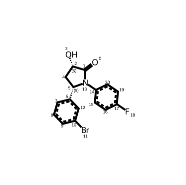 O=C1[C@@H](O)C[C@@H](c2cccc(Br)c2)N1c1ccc(F)cc1